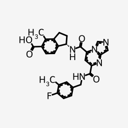 Cc1cc(CNC(=O)c2cc(C(=O)N[C@H]3CCc4c3ccc(C(=O)O)c4C)n3cncc3n2)ccc1F